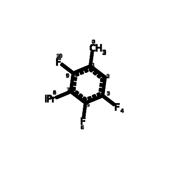 Cc1cc(F)c(F)c(C(C)C)c1F